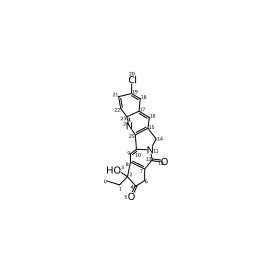 CCC1(O)C(=O)Cc2c1cc1n(c2=O)Cc2cc3cc(Cl)ccc3nc2-1